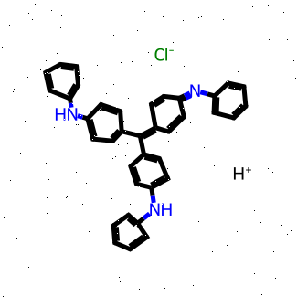 C1=CC(=C(c2ccc(Nc3ccccc3)cc2)c2ccc(Nc3ccccc3)cc2)C=CC1=Nc1ccccc1.[Cl-].[H+]